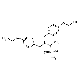 CCOc1ccc(CC(Cc2ccc(OCC)cc2)C(C)S(N)(=O)=O)cc1